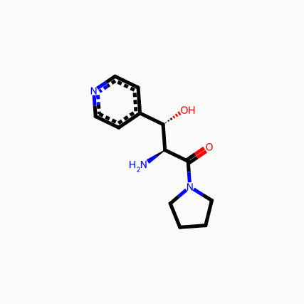 N[C@H](C(=O)N1CCCC1)[C@@H](O)c1ccncc1